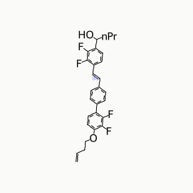 C=CCCOc1ccc(-c2ccc(/C=C/c3ccc(C(O)CCC)c(F)c3F)cc2)c(F)c1F